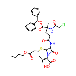 CCCCOC(=O)CCSC1C(NC(=O)CCC(C)(NC(=O)CCl)C(=O)OC(c2ccccc2)c2ccccc2)C(=O)N1C(C(=O)O)=C(C)C